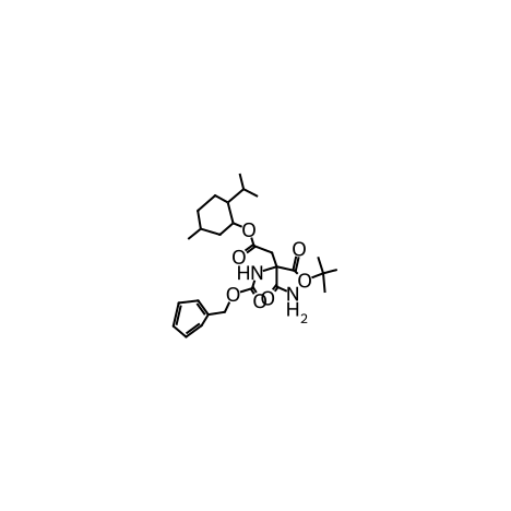 CC1CCC(C(C)C)C(OC(=O)CC(NC(=O)OCc2ccccc2)(C(N)=O)C(=O)OC(C)(C)C)C1